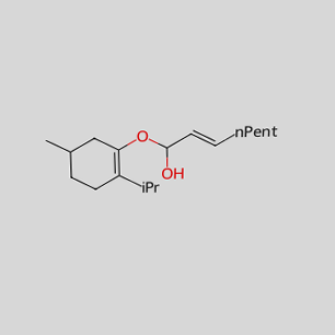 CCCCCC=CC(O)OC1=C(C(C)C)CCC(C)C1